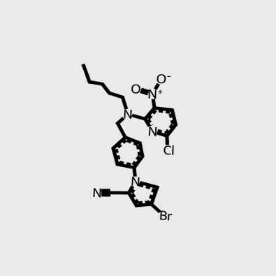 CCCCCN(Cc1ccc(-n2cc(Br)cc2C#N)cc1)c1nc(Cl)ccc1[N+](=O)[O-]